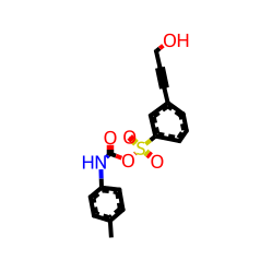 Cc1ccc(NC(=O)OS(=O)(=O)c2cccc(C#CCO)c2)cc1